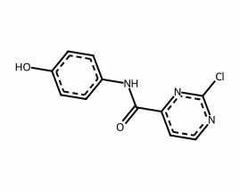 O=C(Nc1ccc(O)cc1)c1ccnc(Cl)n1